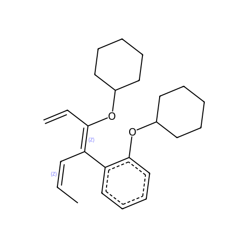 C=C/C(OC1CCCCC1)=C(\C=C/C)c1ccccc1OC1CCCCC1